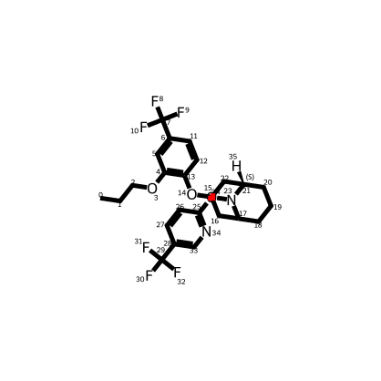 CCCOc1cc(C(F)(F)F)ccc1OC1CC2CCC[C@@H](C1)N2Oc1ccc(C(F)(F)F)cn1